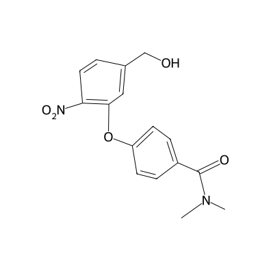 CN(C)C(=O)c1ccc(Oc2cc(CO)ccc2[N+](=O)[O-])cc1